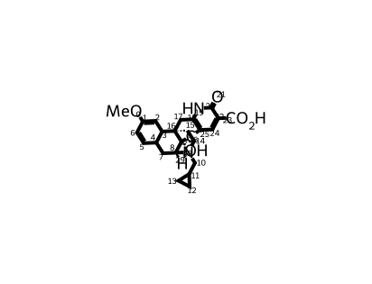 COC1=CC2C(C=C1)C[C@H]1N(CC3CC3)CC[C@@]23Cc2[nH]c(=O)c(C(=O)O)cc2C[C@@]13O